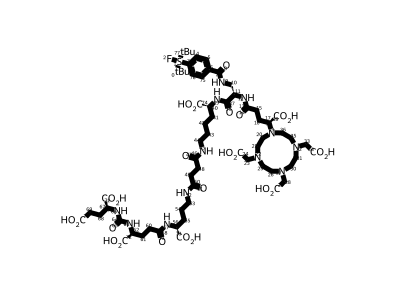 CC(C)(C)S(F)(c1ccc(C(=O)NC[C@H](NC(=O)CC[C@@H](C(=O)O)N2CCN(CC(=O)O)CCN(CC(=O)O)CCN(CC(=O)O)CC2)C(=O)N[C@H](CCCCNC(=O)CCC(=O)NCCC[C@@H](NC(=O)CC[C@H](NC(=O)N[C@@H](CCC(=O)O)C(=O)O)C(=O)O)C(=O)O)C(=O)O)cc1)C(C)(C)C